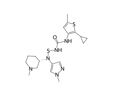 Cc1cc(NC(=O)NSN(c2cnn(C)c2)[C@H]2CCCN(C)C2)c(C2CC2)s1